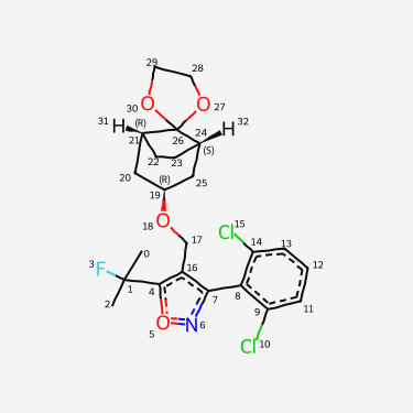 CC(C)(F)c1onc(-c2c(Cl)cccc2Cl)c1CO[C@H]1C[C@H]2CC[C@@H](C1)C21OCCO1